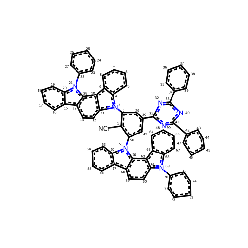 N#Cc1c(-n2c3ccccc3c3c2ccc2c4ccccc4n(-c4ccccc4)c23)cc(-c2nc(-c3ccccc3)nc(-c3ccccc3)n2)cc1-n1c2ccccc2c2ccc3c(c4ccccc4n3-c3ccccc3)c21